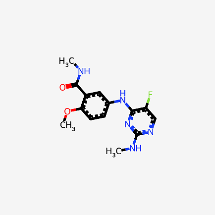 CNC(=O)c1cc(Nc2nc(NC)ncc2F)ccc1OC